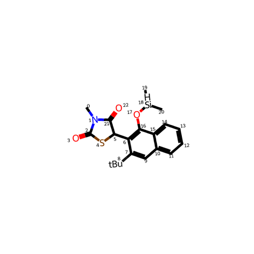 CN1C(=O)SC(c2c(C(C)(C)C)cc3ccccc3c2O[SiH](C)C)C1=O